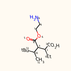 CCC(C(=O)O)C(C(=O)OCCN)C(C)C(C)(C)C